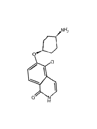 N[C@H]1CC[C@@H](Oc2ccc3c(=O)[nH]ccc3c2Cl)CC1